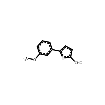 O=Cc1ccc(-c2cccc(OC(F)(F)F)c2)o1